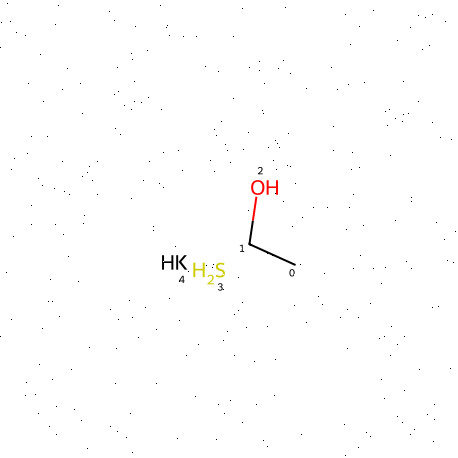 CCO.S.[KH]